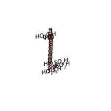 CC1(CCCCS(=O)(=O)O)C(/C=C/C=C/C=C2/N(CCCCCC(=O)NCCOCCOCCOCCOCCOCCOCCOCCOCCOCCOCCOCCOCCC(=O)NC[C@H](CC(=O)CCCCCc3ccccn3)C(=O)NC(CC(=O)O)c3cc(Cl)cc(Cl)c3)c3ccc(S(=O)(=O)O)cc3C2(C)C)=[N+](CCCCS(=O)(=O)O)c2ccc(S(=O)(=O)O)cc21